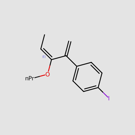 C=C(/C(=C\C)OCCC)c1ccc(I)cc1